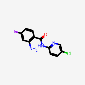 Nc1cc(I)ccc1C(=O)Nc1ccc(Cl)cn1